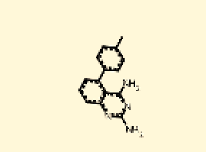 Cc1ccc(-c2cccc3nc(N)nc(N)c23)cc1